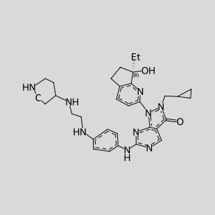 CC[C@@]1(O)CCc2ccc(-n3c4nc(Nc5ccc(NCCNC6CCNCC6)cc5)ncc4c(=O)n3CC3CC3)nc21